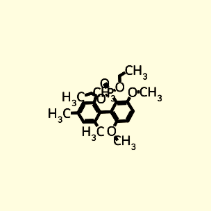 CCOP(=O)(OCC)c1c(OC)ccc(OC)c1-c1c(C)cc(C)cc1C